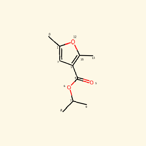 Cc1cc(C(=O)OC(C)C)c(C)o1